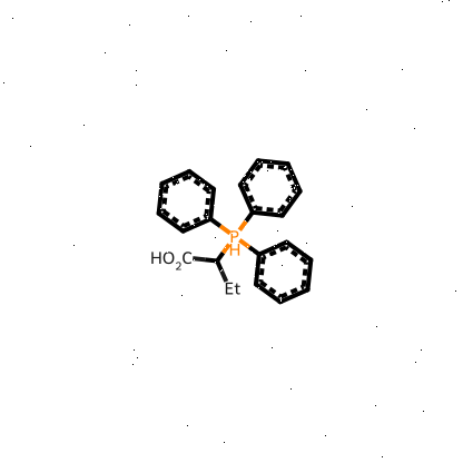 CCC(C(=O)O)[PH](c1ccccc1)(c1ccccc1)c1ccccc1